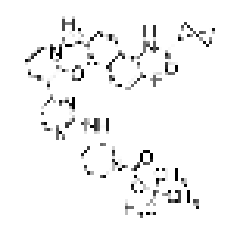 Cc1ccc2c(NC(=O)[C@@H]3CC34CC4)c(F)ccc2c1Oc1ncccc1-c1ccnc(N[C@H]2CCCN(C(=O)OC(C)(C)C)C2)n1